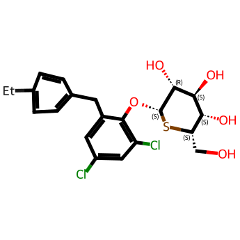 CCc1ccc(Cc2cc(Cl)cc(Cl)c2O[C@H]2S[C@@H](CO)[C@@H](O)[C@H](O)[C@H]2O)cc1